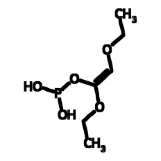 CCOC=C(OCC)OP(O)O